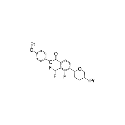 CCCC1CCC(c2ccc(C(=O)Oc3ccc(OCC)cc3)c(C(F)F)c2F)OC1